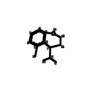 Cc1cccc2c1C(C(C)C)CCO2